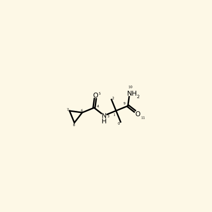 CC(C)(NC(=O)C1CC1)C(N)=O